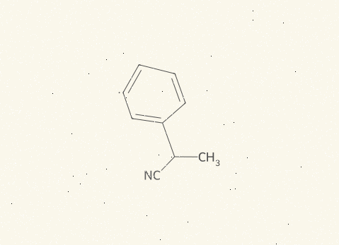 CC(C#N)c1c[c]ccc1